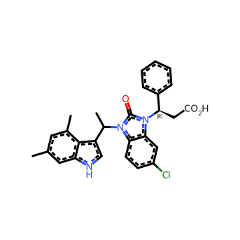 Cc1cc(C)c2c(C(C)n3c(=O)n([C@H](CC(=O)O)c4ccccc4)c4cc(Cl)ccc43)c[nH]c2c1